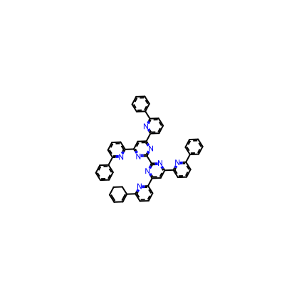 C1=CCCC(c2cccc(-c3cc(-c4cccc(-c5ccccc5)n4)nc(-c4nc(-c5cccc(-c6ccccc6)n5)cc(-c5cccc(-c6ccccc6)n5)n4)n3)n2)=C1